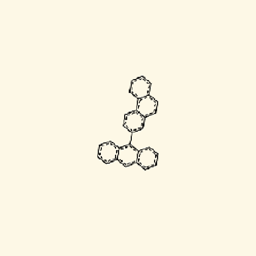 c1ccc2c(-c3ccc4c(ccc5ccccc54)c3)c3ccccc3cc2c1